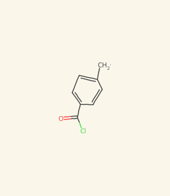 [CH2]c1ccc(C(=O)Cl)cc1